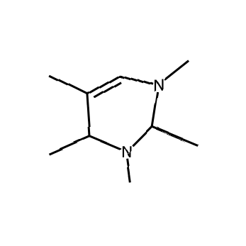 CC1=CN(C)C(C)N(C)C1C